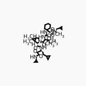 CN(CC1CC1)S(=O)(=O)CC1(NC(=O)N[C@H](C(=O)N2C[C@H]3[C@@H]([C@H]2C(=O)N[C@@H](CCC2CC2)C(=O)C(=O)NC2CC2)C3(C)C)C(C)(C)C)CCCCC1